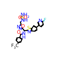 NS(=O)(=O)NCc1nnc(C(NC(=O)c2ccc(C(F)(F)F)cc2)c2nc3ccc(-c4ccc(F)nc4)cc3s2)o1